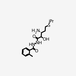 Cc1ccccc1C(=O)NNC(=O)C(O)[C@H](N)CCSC(C)C